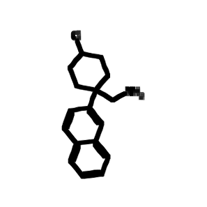 NCC1(c2ccc3ccccc3c2)CCC(Cl)CC1